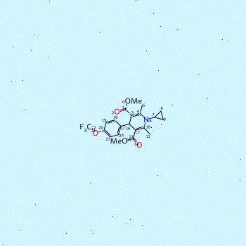 COC(=O)C1=C(C)N(C2CC2)C(C)=C(C(=O)OC)C1c1ccc(OC(F)(F)F)cc1